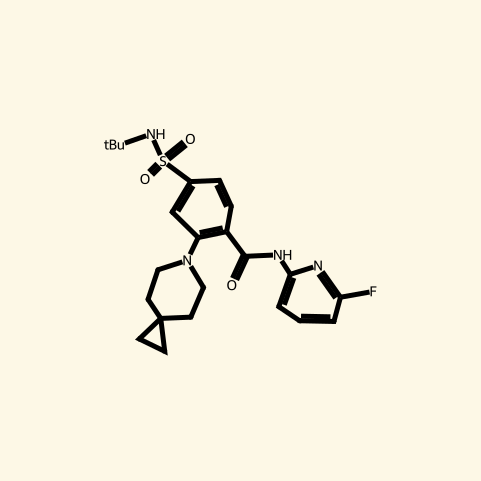 CC(C)(C)NS(=O)(=O)c1ccc(C(=O)Nc2cccc(F)n2)c(N2CCC3(CC2)CC3)c1